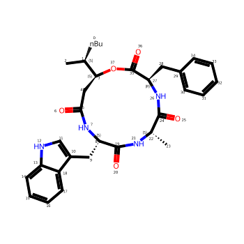 CCCC[C@H](C)[C@@H]1CC(=O)N[C@@H](Cc2c[nH]c3ccccc23)C(=O)N[C@@H](C)C(=O)N[C@H](Cc2ccccc2)C(=O)O1